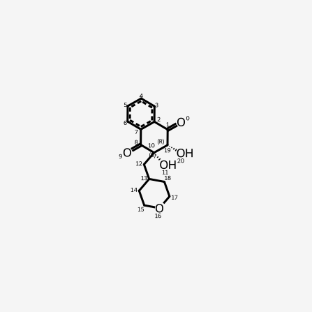 O=C1c2ccccc2C(=O)[C@](O)(CC2CCOCC2)[C@H]1O